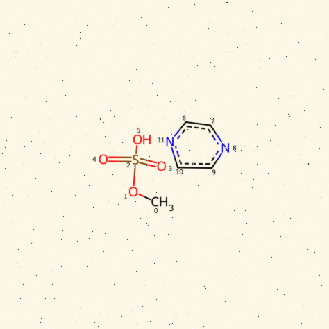 COS(=O)(=O)O.c1cnccn1